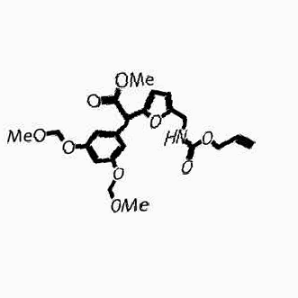 C=CCOC(=O)NCc1ccc(C(C(=O)OC)c2cc(OCOC)cc(OCOC)c2)o1